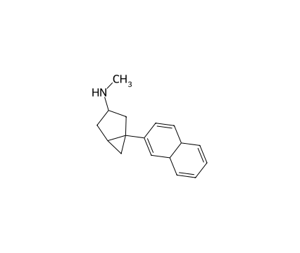 CNC1CC2CC2(C2=CC3C=CC=CC3C=C2)C1